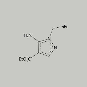 CCOC(=O)c1cnn(CC(C)C)c1N